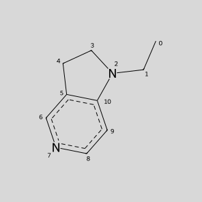 CCN1CCc2cnccc21